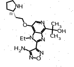 CCn1c(-c2nonc2N)nc2c(C(C)(C)O)ncc(OCC[C@@H]3CCCN3)c21